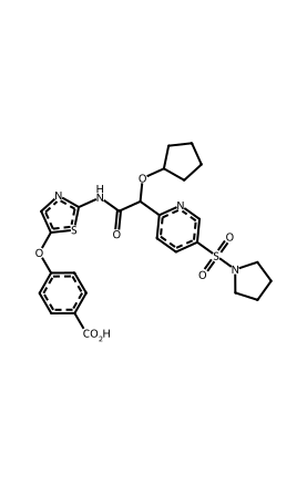 O=C(O)c1ccc(Oc2cnc(NC(=O)C(OC3CCCC3)c3ccc(S(=O)(=O)N4CCCC4)cn3)s2)cc1